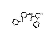 O=C(Nc1cccc(Oc2cccnc2)c1)C1CNCC1c1ccccc1